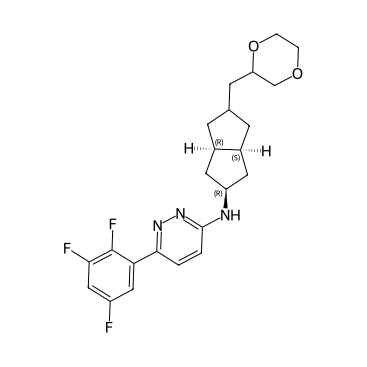 Fc1cc(F)c(F)c(-c2ccc(N[C@H]3C[C@H]4CC(CC5COCCO5)C[C@H]4C3)nn2)c1